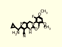 COc1cc(OC)c(F)c(N2Cc3cnc(C(N)C4CC4)c(C#N)c3NC2=O)c1F